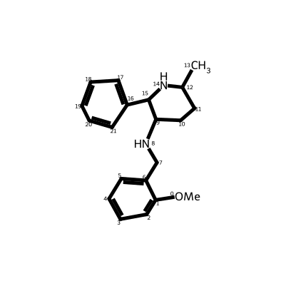 COc1ccccc1CNC1CCC(C)NC1c1ccccc1